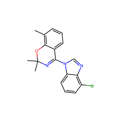 Cc1cccc2c1OC(C)(C)N=C2n1cnc2c(Br)cccc21